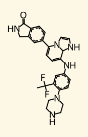 CC(F)(F)c1cc(NC2=CC=C(c3ccc4c(c3)CNC4=O)N3C=CNC23)ccc1N1CCNCC1